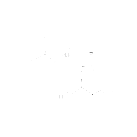 C=CC.CC.CCC(C)C.CCC(C)C